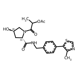 CC(=O)OC(C)C(=O)N1C[C@H](O)C[C@H]1C(=O)NCc1ccc(-c2scnc2C)cc1